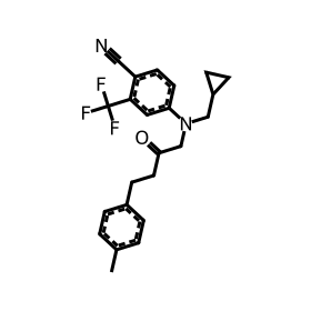 Cc1ccc(CCC(=O)CN(CC2CC2)c2ccc(C#N)c(C(F)(F)F)c2)cc1